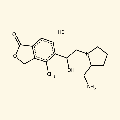 Cc1c(C(O)CN2CCCC2CN)ccc2c1COC2=O.Cl